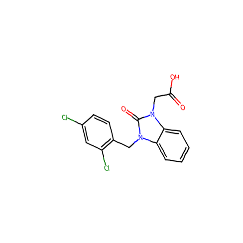 O=C(O)Cn1c(=O)n(Cc2ccc(Cl)cc2Cl)c2ccccc21